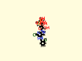 O=P(O)(O)CS(=O)(=O)C[C@H]1O[C@@H](n2ncc3c(NCc4ccccc4Cl)cc(Cl)nc32)[C@H](O)[C@@H]1O